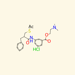 CC(=O)SCC(Cc1ccccc1)C(=O)Nc1cccc(C(=O)OCCN(C)C)c1.Cl